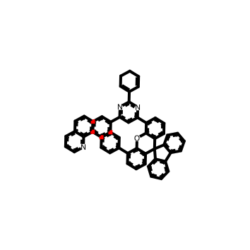 C1=CC(c2nc(-c3ccccc3)cc(-c3cccc4c3Oc3c(-c5ccc(-c6cccc7cccnc67)cc5)cccc3C43c4ccccc4-c4ccccc43)n2)=CCC1